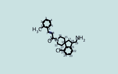 Cc1ccccc1/C=C/C(=O)N1CCC2(CC1)CC(CN)c1cccc(Cl)c12